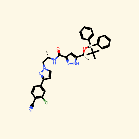 C[C@@H](Cn1ccc(-c2ccc(C#N)c(Cl)c2)n1)NC(=O)c1cc([C@@H](C)O[Si](c2ccccc2)(c2ccccc2)C(C)(C)C)[nH]n1